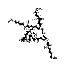 CCCCCCCCCCCCCCNC(=O)CCN(CCNCCN(CCC(=O)NCCCCCCCCCCCCCC)CCN(CCC(=O)NCCCCCCCCCCCCCC)CCC(=O)NCCCCCCCCCCCCCC)CCC(=O)NCCCCCCCCCCCCCC